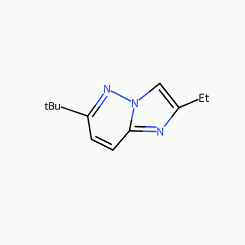 CCc1cn2nc(C(C)(C)C)ccc2n1